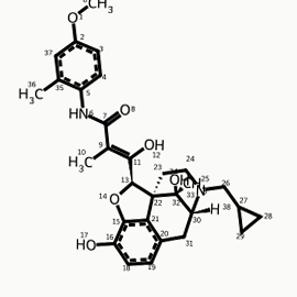 COc1ccc(NC(=O)/C(C)=C(\O)[C@@H]2Oc3c(O)ccc4c3[C@@]23CCN(CC2CC2)[C@H](C4)[C@@]3(C)O)c(C)c1